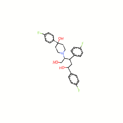 OCC(C(CC(O)c1ccc(F)cc1)c1ccc(F)cc1)N1CCC(O)(c2ccc(F)cc2)CC1